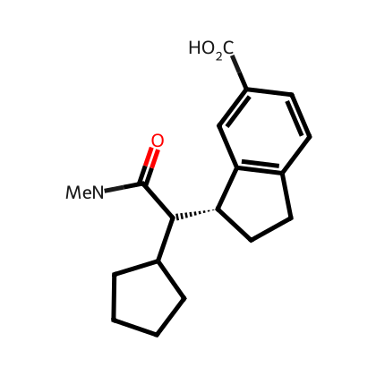 CNC(=O)C(C1CCCC1)[C@H]1CCc2ccc(C(=O)O)cc21